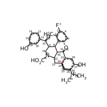 Cc1c(F)cccc1C1C(C(=O)c2cccc(O)c2)CN(C(=O)O)C(CCCCN(C)C)C1C(=O)c1cccc(O)c1